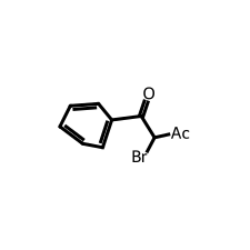 CC(=O)C(Br)C(=O)c1ccccc1